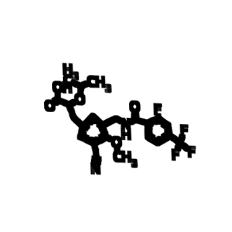 COc1c(C#N)cc(CC(OC(C)C)C(=O)O)cc1CNC(=O)c1ccc(C(F)(F)F)cc1F